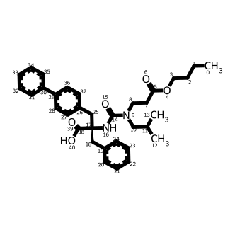 CCCCOC(=O)CCN(CC(C)C)C(=O)N[C@@](Cc1ccccc1)(Cc1ccc(-c2ccccc2)cc1)C(=O)O